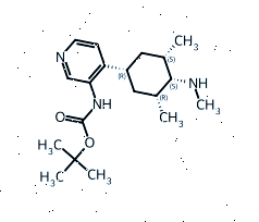 CN[C@@H]1[C@H](C)C[C@H](c2ccncc2NC(=O)OC(C)(C)C)C[C@@H]1C